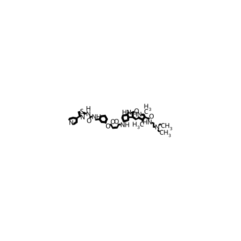 CCN(CC)CCNC(=O)c1c(C)[nH]c(/C=C2\C(=O)Nc3ccc(NC(=O)/C=C\C(=O)Oc4cccc(CNC(=O)Nc5nc(-c6ccncc6)cs5)c4)cc32)c1C